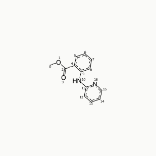 COC(=O)c1ccccc1Nc1ccccn1